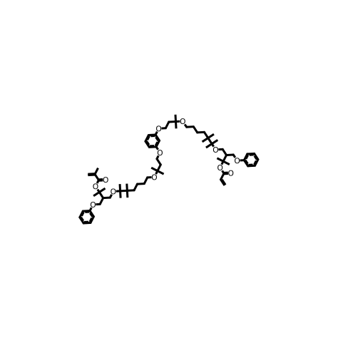 C=CC(=O)OC(C)(C)C(COc1ccccc1)COC(C)(C)C(C)(C)CCCCOC(C)(C)CCOc1cccc(OCCC(C)(C)OCCCCC(C)(C)C(C)(C)OCC(COc2ccccc2)C(C)(C)OC(=O)C(=C)C)c1